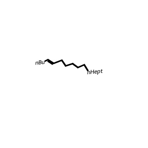 [CH2]CCCC=CCCCCCCCCCCCC